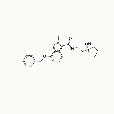 Cc1nc2c(OCc3ccccc3)cccn2c1C(=O)NCCC1(O)CCCC1